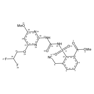 COC(=O)c1cccc(CC#N)c1S(=O)(=O)NC(=O)Nc1nc(OC)cc(OCC(F)F)n1